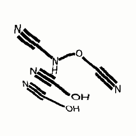 N#CNOC#N.N#CO.N#CO